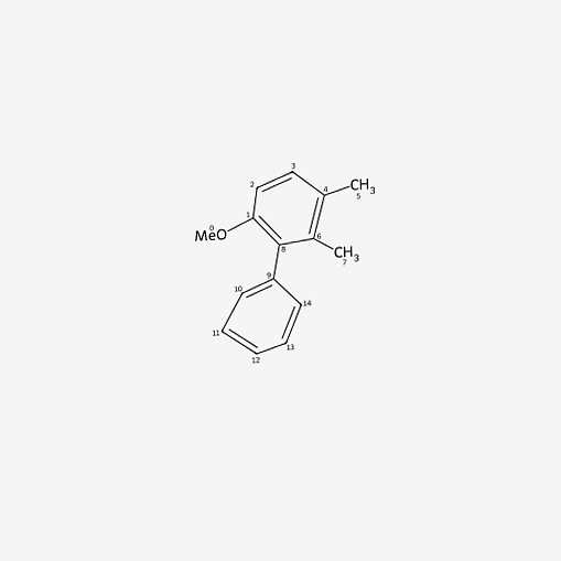 COc1ccc(C)c(C)c1-c1ccccc1